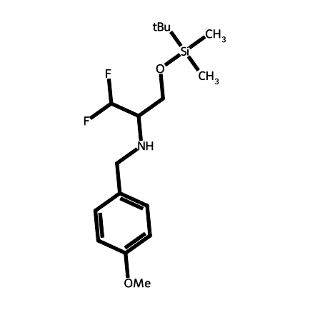 COc1ccc(CNC(CO[Si](C)(C)C(C)(C)C)C(F)F)cc1